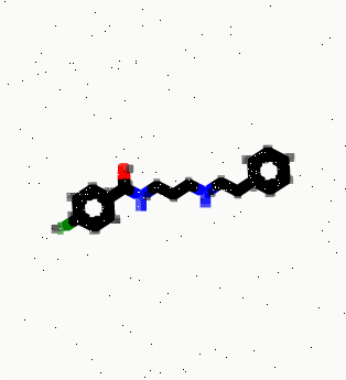 O=C(NCCCNCCc1ccccc1)c1ccc(F)cc1